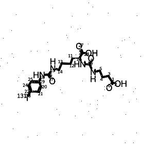 O=C(O)CCCNC(=O)N[C@@H](CCCCNC(=O)Nc1ccc([131I])cc1)C(=O)O